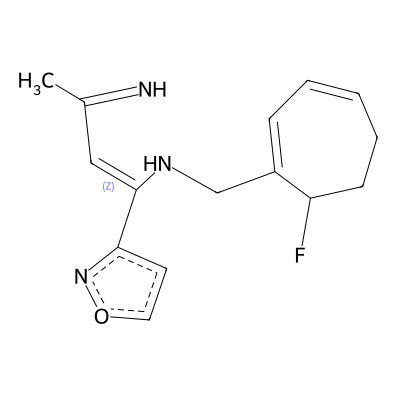 CC(=N)/C=C(\NCC1=CC=CCCC1F)c1ccon1